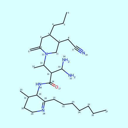 C=C1CC(CCC)C(CC#N)CN1C(C)C(C(=O)NC1C(CCCCCCC)=NCCC1C)C(N)N